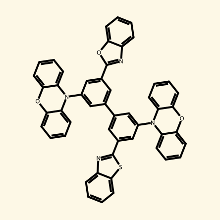 c1ccc2c(c1)Oc1ccccc1N2c1cc(-c2cc(-c3nc4ccccc4s3)cc(N3c4ccccc4Oc4ccccc43)c2)cc(-c2nc3ccccc3o2)c1